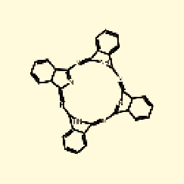 C1=CC2C3=NC(=N\C4N/C(=N\C5=NC(=N\C6N/C(=N\3)c3ccccc36)/C3C=CC=CC53)c3ccccc34)/C2C=C1